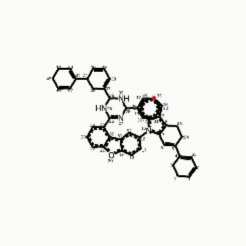 C1=CCCC(C2=Cc3c(c4ccccc4n3-c3ccc4oc5cccc(C6=NC(c7ccccc7)NC(C7=CC=CC(C8=CCCC=C8)C7)N6)c5c4c3)CC2)=C1